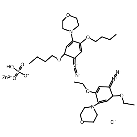 CCCCOC1=CC(=[N+]=[N-])C(OCCCC)C=C1N1CCOCC1.CCOC1=CC(=[N+]=[N-])C(OCC)C=C1N1CCOCC1.O=S(=O)([O-])O.[Cl-].[Zn+2]